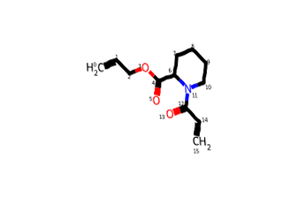 C=CCOC(=O)C1CCCCN1C(=O)C=C